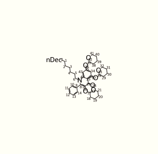 CCCCCCCCCCCCCCCCn1c(-c2ccccc2)c(OC2CCCCO2)c(=O)c2c(OC3CCCCO3)cc(OC3CCCCO3)cc21